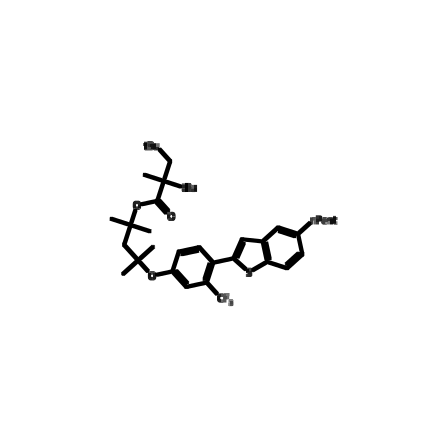 CCCCCc1ccc2sc(-c3ccc(OC(C)(C)CC(C)(C)OC(=O)C(C)(CC(C)(C)C)C(C)(C)C)cc3C(F)(F)F)cc2c1